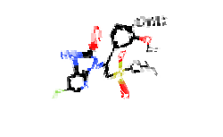 CCOc1cc(C(CS(C)(=O)=O)n2c(=O)[nH]c3cc(F)cnc32)ccc1OC